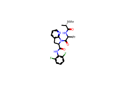 CN[C@@H](C)C(=O)NC(C(=O)N1c2ncccc2CC1C(=O)Nc1c(F)cccc1F)C(C)C